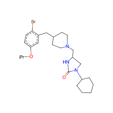 CC(C)Oc1ccc(Br)c(CC2CCN(CC3CN(C4CCCCC4)C(=O)N3)CC2)c1